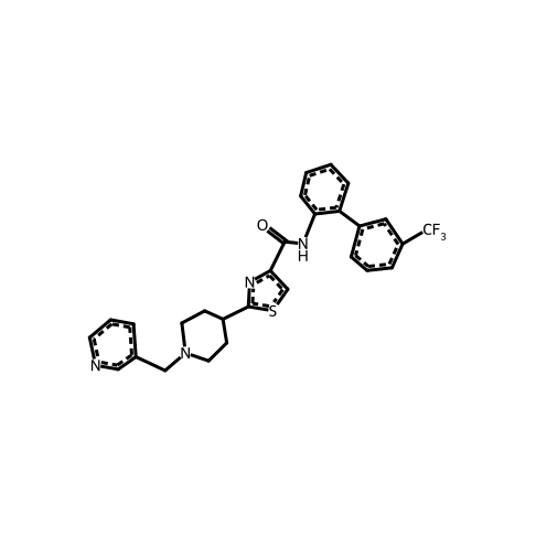 O=C(Nc1ccccc1-c1cccc(C(F)(F)F)c1)c1csc(C2CCN(Cc3cccnc3)CC2)n1